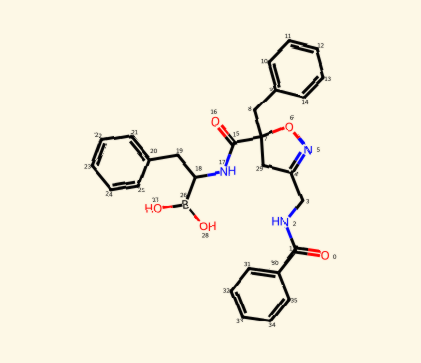 O=C(NCC1=NOC(Cc2ccccc2)(C(=O)NC(Cc2ccccc2)B(O)O)C1)c1ccccc1